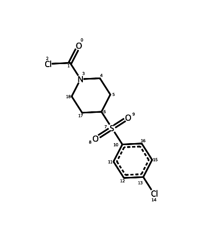 O=C(Cl)N1CCC(S(=O)(=O)c2ccc(Cl)cc2)CC1